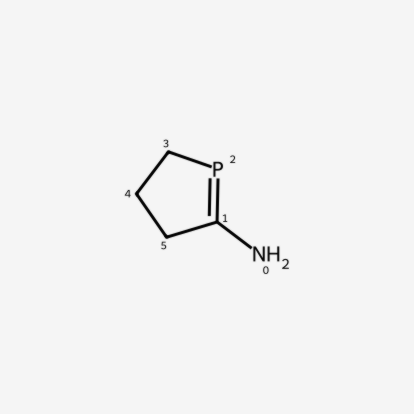 NC1=PCCC1